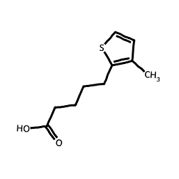 Cc1ccsc1CCCCC(=O)O